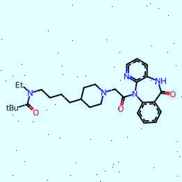 CCN(CCCCC1CCN(CC(=O)N2c3ccccc3C(=O)Nc3cccnc32)CC1)C(=O)C(C)(C)C